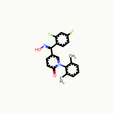 Cc1cccc(C)c1-n1cc(/C(=N\O)c2ccc(F)cc2F)ccc1=O